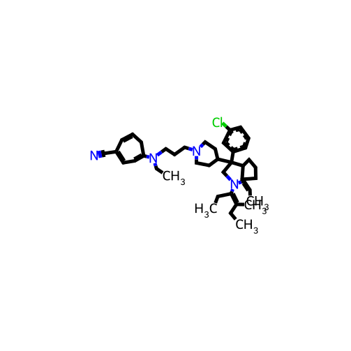 C/C=C\N(CC(c1cccc(Cl)c1)(C1CCCC1)C1CCN(CCCN(CC)C2=CC=C(C#N)C=CC2)CC1)/C(CC)=C(\C)CC